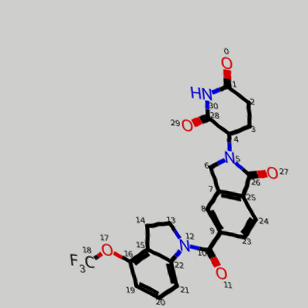 O=C1CCC(N2Cc3cc(C(=O)N4CCc5c(OC(F)(F)F)cccc54)ccc3C2=O)C(=O)N1